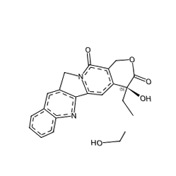 CCO.CC[C@@]1(O)C(=O)OCc2c1cc1n(c2=O)Cc2cc3ccccc3nc2-1